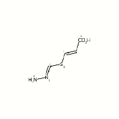 NN=CSC=CC(=O)O